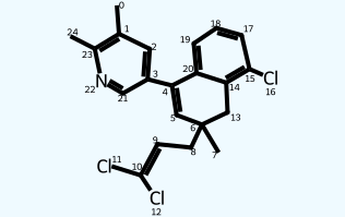 Cc1cc(C2=CC(C)(CC=C(Cl)Cl)Cc3c(Cl)cccc32)cnc1C